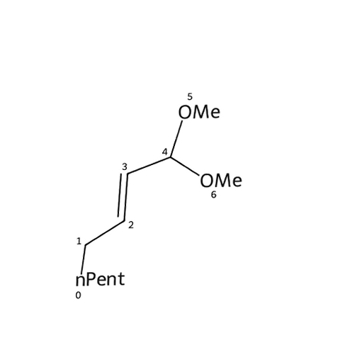 CCCCCCC=CC(OC)OC